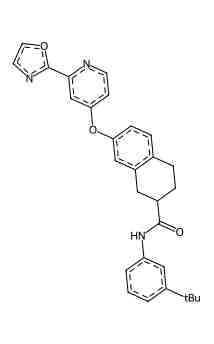 CC(C)(C)c1cccc(NC(=O)C2CCc3ccc(Oc4ccnc(-c5ncco5)c4)cc3C2)c1